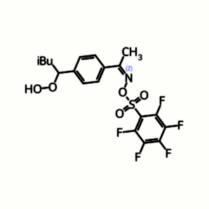 CCC(C)C(OO)c1ccc(/C(C)=N\OS(=O)(=O)c2c(F)c(F)c(F)c(F)c2F)cc1